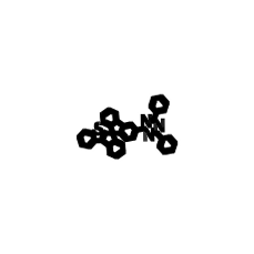 c1ccc(-c2nc(-c3ccccc3)nc(-c3ccc4c(c3)-c3ccccc3C43c4ccccc4-c4c3sc3ccccc43)n2)cc1